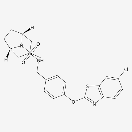 CS(=O)(=O)N1[C@@H]2CC[C@H]1CC(NCc1ccc(Oc3nc4ccc(Cl)cc4s3)cc1)C2